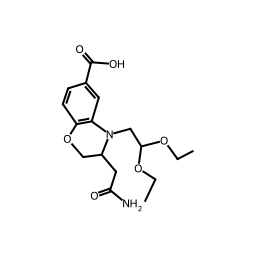 CCOC(CN1c2cc(C(=O)O)ccc2OCC1CC(N)=O)OCC